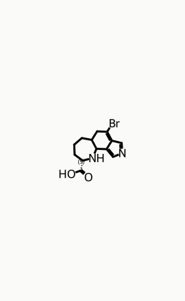 O=C(O)[C@@H]1CCCC2CC(Br)=C3C=NC=C3C2N1